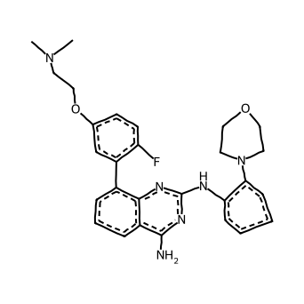 CN(C)CCOc1ccc(F)c(-c2cccc3c(N)nc(Nc4ccccc4N4CCOCC4)nc23)c1